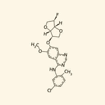 COc1cc2c(Nc3cc(Cl)ccc3C)ncnc2cc1O[C@@H]1CO[C@@H]2[C@H]1OC[C@H]2F